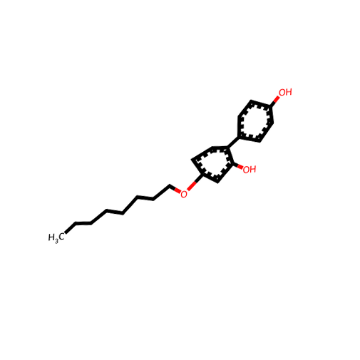 CCCCCCCCOc1ccc(-c2ccc(O)cc2)c(O)c1